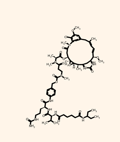 CCC(CC)NC(=O)CCCCC(=O)N[C@H](C(=O)N[C@@H](CCCNC(N)=O)C(=O)Nc1ccc(COC(=O)N(C)CCC(=O)N(C)[C@@H](C)C(=O)O[C@H]2CC(=O)N(C)c3cc(cc(OC)c3Cl)C/C(C)=C/C=C/[C@@H](OC)[C@@]3(O)C[C@H](OC(=O)N3)[C@@H](C)[C@@H]3O[C@@]23C)cc1)C(C)C